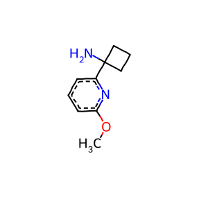 COc1cccc(C2(N)CCC2)n1